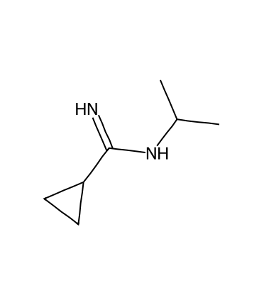 CC(C)NC(=N)C1CC1